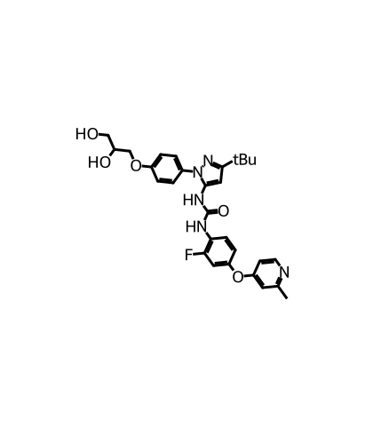 Cc1cc(Oc2ccc(NC(=O)Nc3cc(C(C)(C)C)nn3-c3ccc(OCC(O)CO)cc3)c(F)c2)ccn1